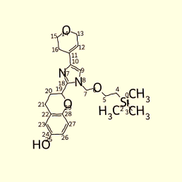 C[Si](C)(C)CCOCn1cc(C2=CCOCC2)nc1C1CCc2cc(O)ccc2O1